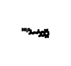 CC(C=CC=C(C)c1cc2c(cc1C)C(C)(C)CCC2(C)C)=CC(=O)O